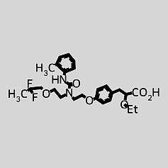 CCOC(Cc1ccc(OCCN(CCOCC(C)(F)F)C(=O)Nc2ccccc2C)cc1)C(=O)O